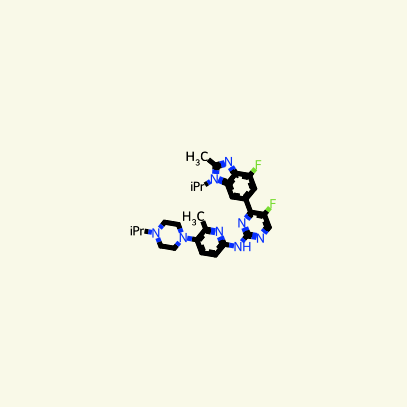 Cc1nc(Nc2ncc(F)c(-c3cc(F)c4nc(C)n(C(C)C)c4c3)n2)ccc1N1CCN(C(C)C)CC1